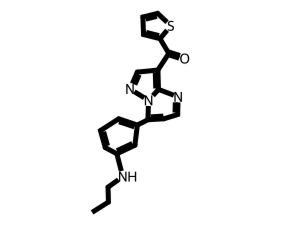 CCCNc1cccc(-c2ccnc3c(C(=O)c4cccs4)cnn23)c1